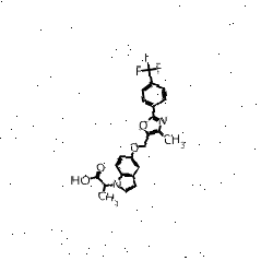 Cc1nc(-c2ccc(C(F)(F)F)cc2)oc1COc1ccc2c(ccn2C(C)C(=O)O)c1